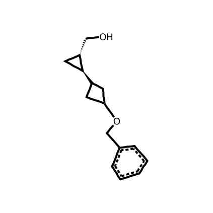 OC[C@H]1C[C@@H]1C1CC(OCc2ccccc2)C1